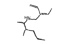 C=C/C(=C\C)CNC(C)C(C)CCC